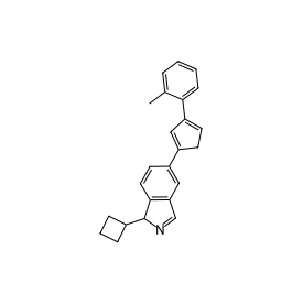 Cc1ccccc1C1=CCC(c2ccc3c(c2)C=NC3C2CCC2)=C1